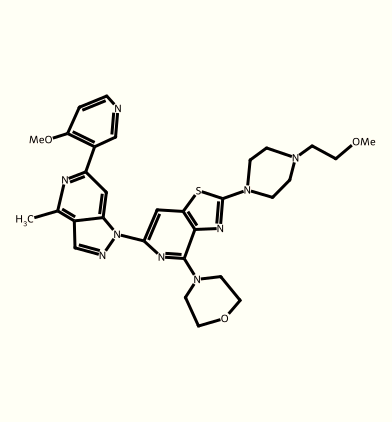 COCCN1CCN(c2nc3c(N4CCOCC4)nc(-n4ncc5c(C)nc(-c6cnccc6OC)cc54)cc3s2)CC1